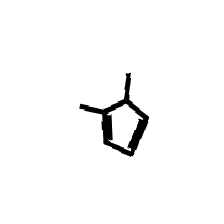 CC1=CC=CC1C